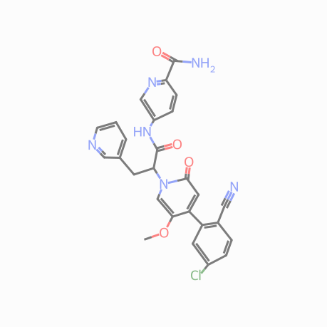 COc1cn(C(Cc2cccnc2)C(=O)Nc2ccc(C(N)=O)nc2)c(=O)cc1-c1cc(Cl)ccc1C#N